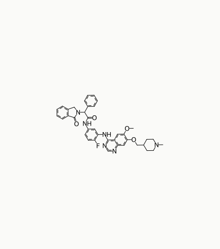 COc1cc2c(Nc3cc(NC(=O)C(c4ccccc4)N4Cc5ccccc5C4=O)ccc3F)ncnc2cc1OCC1CCN(C)CC1